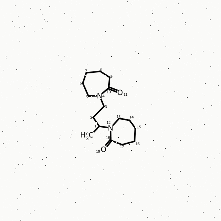 CC(CCN1CCCCCC1=O)N1CCCCCC1=O